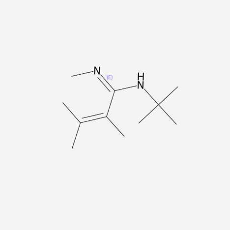 C/N=C(/NC(C)(C)C)C(C)=C(C)C